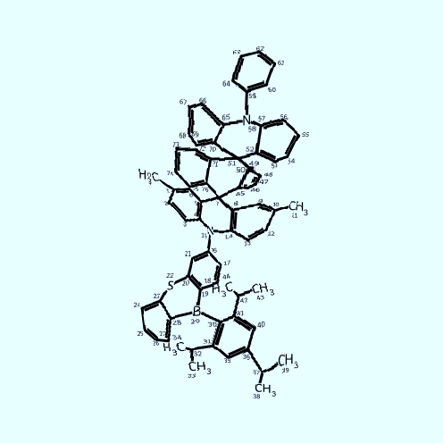 Cc1ccc2c(c1)C1(c3cc(C)ccc3N2c2ccc3c(c2)Sc2ccccc2B3c2c(C(C)C)cc(C(C)C)cc2C(C)C)c2ccccc2C2(c3ccccc3N(c3ccccc3)c3ccccc32)c2ccccc21